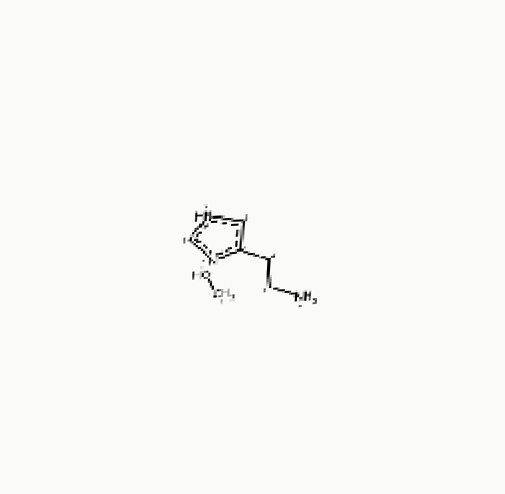 CO.NCCc1c[nH]cn1